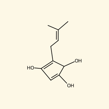 CC(C)=CCC1=C(O)C=C(O)C1O